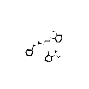 CCN(C(=O)O)c1ccccc1C.O=C(NCCNc1ccccc1B(O)O)OCc1ccccc1